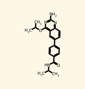 CC(C)NC(=O)c1ccc(-c2ccc3nc(N)nc(OC(C)C)c3c2)cc1